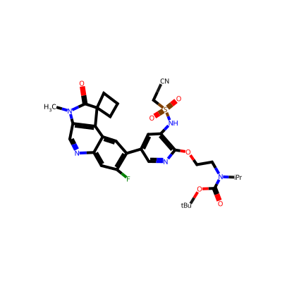 CC(C)N(CCOc1ncc(-c2cc3c4c(cnc3cc2F)N(C)C(=O)C42CCC2)cc1NS(=O)(=O)CC#N)C(=O)OC(C)(C)C